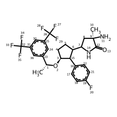 C[C@@H](O[C@H]1CCC(C2C[C@@](C)(N)C(=O)N2)C1c1ccc(F)cc1)c1cc(C(F)(F)F)cc(C(F)(F)F)c1